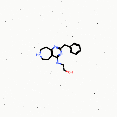 OCCNc1nc(Cc2ccccc2)nc2c1CCNCC2